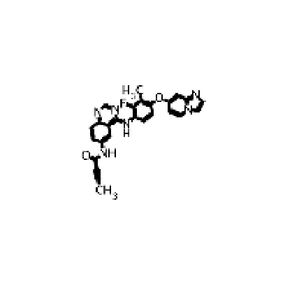 CC#CC(=O)Nc1ccc2ncnc(Nc3ccc(Oc4ccn5ccnc5c4)c(C)c3F)c2c1